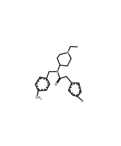 Cc1ccc(CN(C(=O)Cc2ccc(F)cc2)C2CCN(CI)CC2)cc1